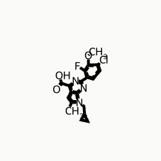 COc1c(Cl)ccc(-c2nc(C(=O)O)c3cc(C)n(CC4CC4)c3n2)c1F